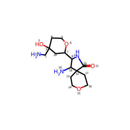 NCC1(O)CCOC(C2NC(=O)C3(CCOCC3)C2N)C1